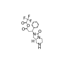 O=C(CC(c1ccccc1)N1C[C@@H]2CNCCN2C1=O)OC(=O)C(F)(F)F